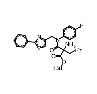 CC(C)C[C@](N)(C(=O)OC(C)(C)C)C(=O)N(Cc1csc(-c2ccccc2)n1)c1ccc(F)cc1